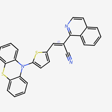 N#C/C(=C\c1ccc(N2c3ccccc3Sc3ccccc32)s1)c1nccc2ccccc12